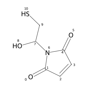 O=C1C=CC(=O)N1C(O)CS